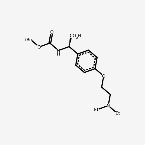 CCN(CC)CCOc1ccc([C@@H](NC(=O)OC(C)(C)C)C(=O)O)cc1